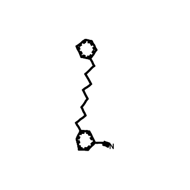 N#Cc1cccc(CCCCCCCCc2ccccc2)c1